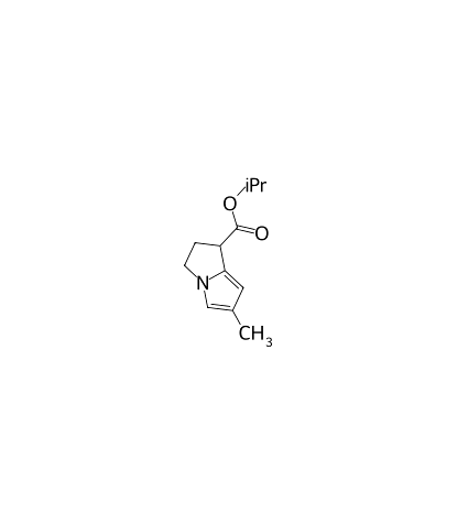 Cc1cc2n(c1)CCC2C(=O)OC(C)C